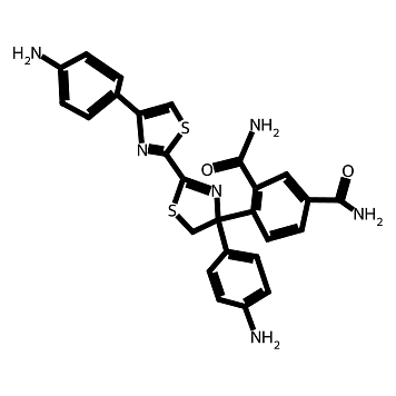 NC(=O)c1ccc(C2(c3ccc(N)cc3)CSC(c3nc(-c4ccc(N)cc4)cs3)=N2)c(C(N)=O)c1